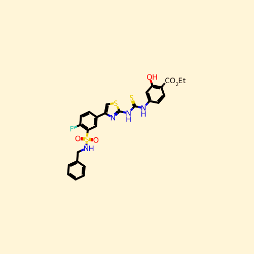 CCOC(=O)c1ccc(NC(=S)Nc2nc(-c3ccc(F)c(S(=O)(=O)NCc4ccccc4)c3)cs2)cc1O